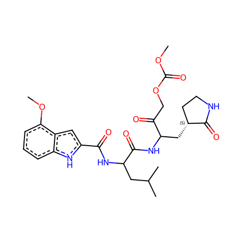 COC(=O)OCC(=O)C(C[C@@H]1CCNC1=O)NC(=O)C(CC(C)C)NC(=O)c1cc2c(OC)cccc2[nH]1